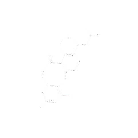 COc1c(C(O)CC(C)C)ccc2c1C(=O)OCc1cc(Cl)cc(O)c1O2